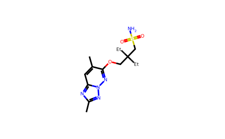 CCC(CC)(COc1nn2nc(C)nc2cc1C)CS(N)(=O)=O